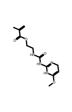 C=C(C)C(=O)OCCNC(=O)NC1=NCC=C(OC)N1